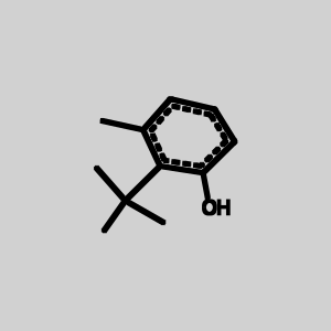 Cc1cccc(O)c1C(C)(C)C